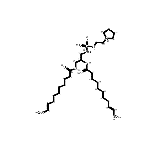 CCCCCCCCC=CCCCCCCCC(=O)OCC(CNS(=O)(=O)OCCN1CCCC1)OC(=O)CCCCCCCC=CCCCCCCCC